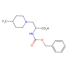 O=C(NC(CN1CCC(C(F)(F)F)CC1)C(=O)O)OCc1ccccc1